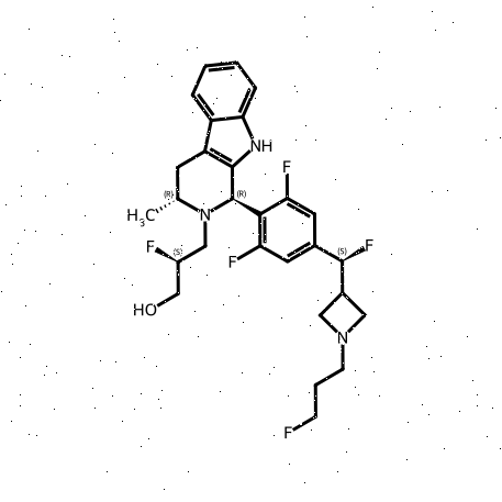 C[C@@H]1Cc2c([nH]c3ccccc23)[C@@H](c2c(F)cc([C@@H](F)C3CN(CCCF)C3)cc2F)N1C[C@H](F)CO